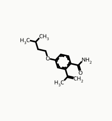 C=C(C)c1cc(OCCC(C)C)ccc1C(N)=O